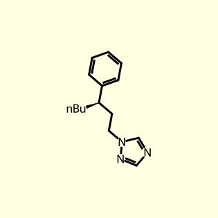 CCCC[C@H](CCn1cncn1)c1ccccc1